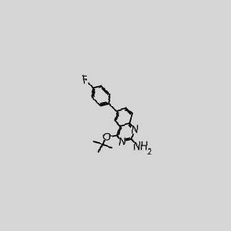 CC(C)(C)Oc1nc(N)nc2ccc(-c3ccc(F)cc3)cc12